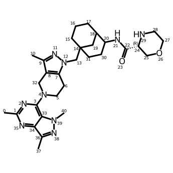 Cc1nc(N2CCc3c(c(C)nn3CC34CCCC(C3)C(NC(=O)[C@H]3COCCN3)CC4)C2)c2c(n1)c(C)nn2C